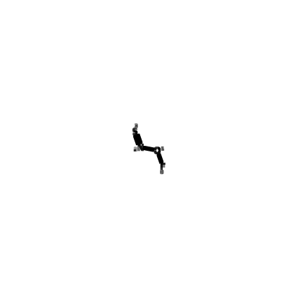 FON=S